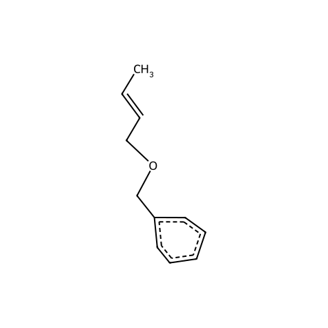 C/C=C/COCc1ccccc1